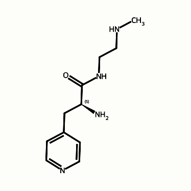 CNCCNC(=O)[C@@H](N)Cc1ccncc1